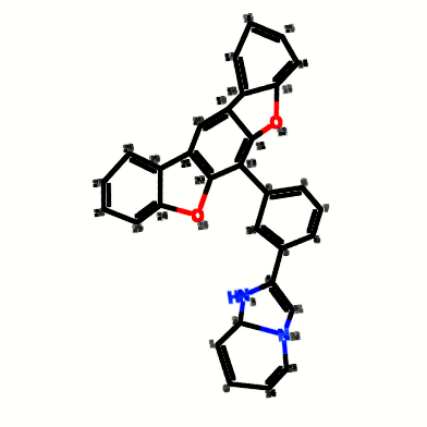 C1=CC2NC(c3cccc(-c4c5oc6ccccc6c5cc5c4oc4ccccc45)c3)=CN2C=C1